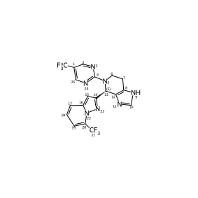 FC(F)(F)c1cnc(N2CCc3[nH]cnc3[C@H]2c2cc3cccc(C(F)(F)F)n3n2)nc1